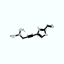 CN(C)CC#Cc1csc(C=O)n1